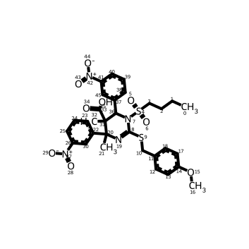 CCCCS(=O)(=O)N1C(SCc2ccc(OC)cc2)=NC(C)(c2cccc([N+](=O)[O-])c2)C(C)(C(=O)O)C1c1cccc([N+](=O)[O-])c1